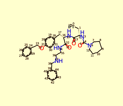 CC(C)C[C@H](NC(=O)N1CCCCCC1)C(=O)N[C@@H](Cc1ccc(OCc2ccccc2)cc1)C(=O)NCCNCc1ccccc1